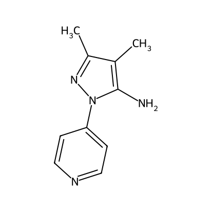 Cc1nn(-c2ccncc2)c(N)c1C